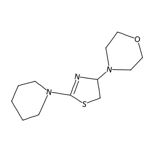 C1CCN(C2=NC(N3CCOCC3)CS2)CC1